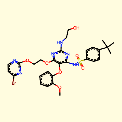 COc1ccccc1Oc1c(NS(=O)(=O)c2ccc(C(C)(C)C)cc2)nc(NCCO)nc1OCCOc1nccc(Br)n1